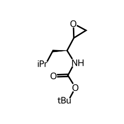 CC(C)C[C@H](NC(=O)OC(C)(C)C)C1CO1